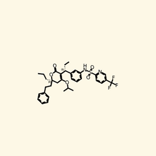 CCC[C@@]1(CCc2ccccc2)CC(OC(C)C)=C([C@H](CC)c2cccc(NS(=O)(=O)c3ccc(C(F)(F)F)cn3)c2)C(=O)O1